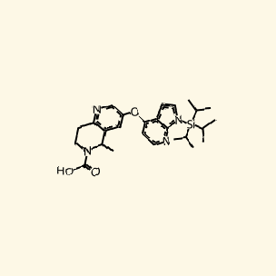 CC1c2cc(Oc3ccnc4c3ccn4[Si](C(C)C)(C(C)C)C(C)C)cnc2CCN1C(=O)O